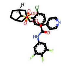 O=C(Nc1cc(F)c(F)c(F)c1)c1ccc(Cl)c(S(=O)(=O)C2C3CC[C@H]2C[C@](O)(COCc2ccncc2)C3)c1